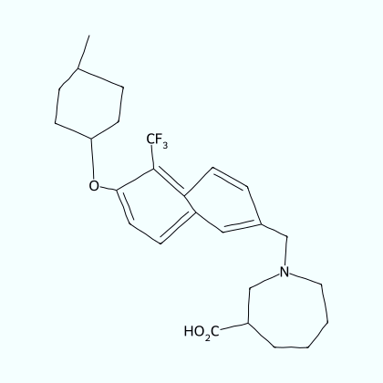 CC1CCC(Oc2ccc3cc(CN4CCCCC(C(=O)O)C4)ccc3c2C(F)(F)F)CC1